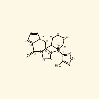 CCc1nocc1C(=O)N1CCN2C(=O)c3cccn3CC12C1CCOCC1